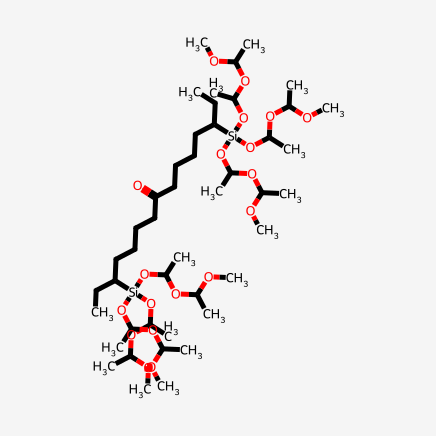 CCC(CCCCC(=O)CCCCC(CC)[Si](OC(C)OC(C)OC)(OC(C)OC(C)OC)OC(C)OC(C)OC)[Si](OC(C)OC(C)OC)(OC(C)OC(C)OC)OC(C)OC(C)OC